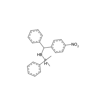 C[PH](C)(BC(c1ccccc1)c1ccc([N+](=O)[O-])cc1)c1ccccc1